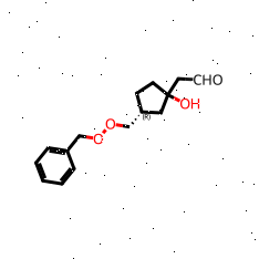 O=CCC1(O)CC[C@@H](COOCc2ccccc2)C1